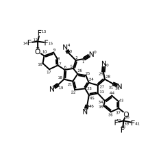 N#CC(C#N)=C1C(C2=CC=C(OC(F)(F)F)CC2)=C(C#N)c2cc3c(cc21)C(=C(C#N)C#N)C(c1ccc(OC(F)(F)F)cc1)=C3C#N